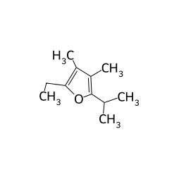 CCc1oc(C(C)C)c(C)c1C